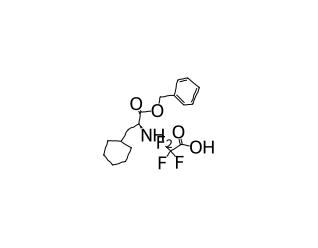 N[C@@H](CC1CCCCC1)C(=O)OCc1ccccc1.O=C(O)C(F)(F)F